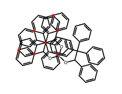 c1ccc(C(OB(OC(c2ccccc2)C(c2ccccc2)(c2ccccc2)c2ccccc2)OC(c2ccccc2)C(c2ccccc2)(c2ccccc2)c2ccccc2)C(c2ccccc2)(c2ccccc2)c2ccccc2)cc1